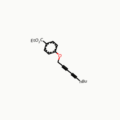 CCCCC#CC#CCOc1ccc(C(=O)OCC)cc1